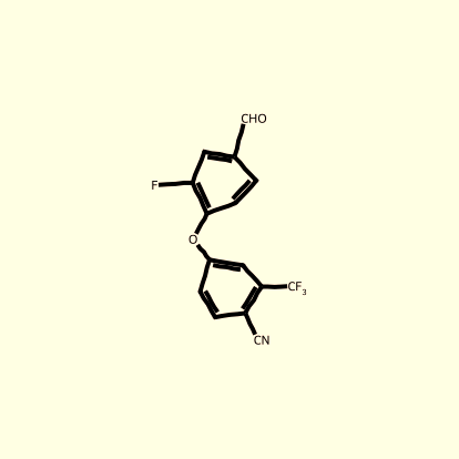 N#Cc1ccc(Oc2ccc(C=O)cc2F)cc1C(F)(F)F